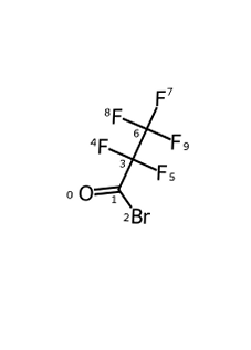 O=C(Br)C(F)(F)C(F)(F)F